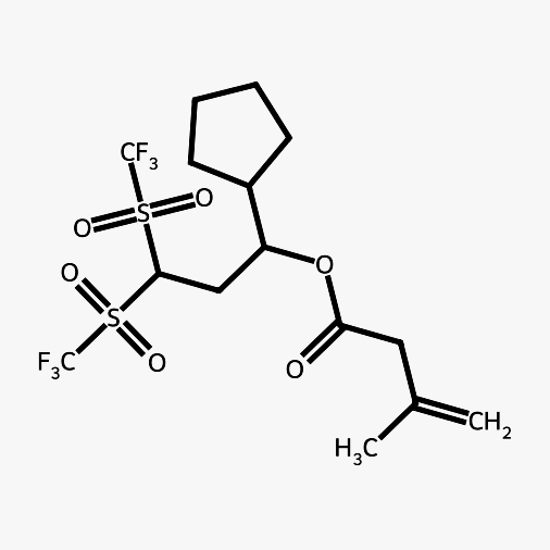 C=C(C)CC(=O)OC(CC(S(=O)(=O)C(F)(F)F)S(=O)(=O)C(F)(F)F)C1CCCC1